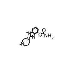 CN1CCCN(c2nc3c(OC(N)=O)cccc3n2C)CC1